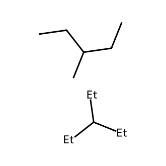 CCC(C)CC.CCC(CC)CC